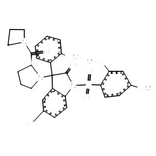 COc1ccc(S(=O)(=O)N2C(=O)C(c3ccccc3OC)(N3C[C@H](O)C[C@H]3C(=O)N3CCC3)c3cc(Cl)ccc32)c(OC)c1